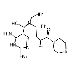 CC[C@@H](C[C@@H](CC)N(CC(C)C)C(O)C1C=NC(C(C)(C)C)NC1N)C(=O)N1CCSCC1